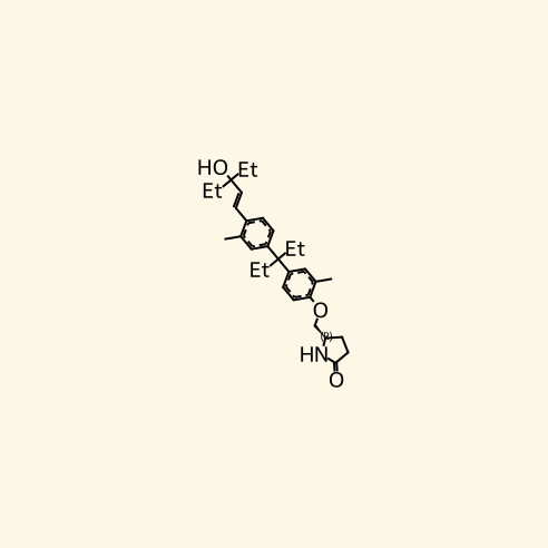 CCC(O)(C=Cc1ccc(C(CC)(CC)c2ccc(OC[C@H]3CCC(=O)N3)c(C)c2)cc1C)CC